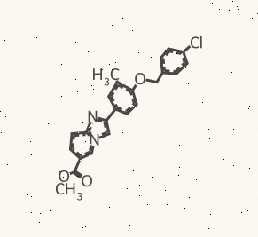 COC(=O)c1ccc2nc(-c3ccc(OCc4ccc(Cl)cc4)c(C)c3)cn2c1